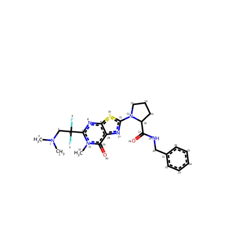 CN(C)CC(F)(F)c1nc2sc(N3CCCC3C(=O)NCc3ccccc3)nc2c(=O)n1C